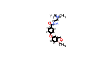 CB1OCc2cc(Oc3ccc(C(=O)NCCN(C)C)cc3)ccc21